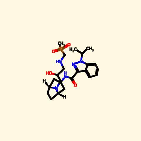 CC(C)n1nc(C(=O)N[C@@H]2C[C@H]3CC[C@@H](C2)N3CC(O)CNCS(C)(=O)=O)c2ccccc21